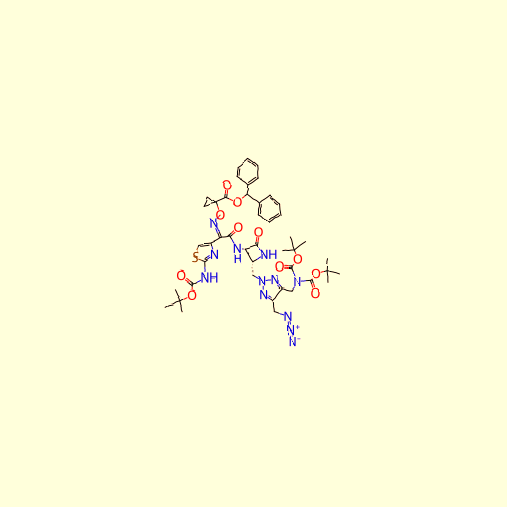 CC(C)(C)OC(=O)Nc1nc(/C(=N/OC2(C(=O)OC(c3ccccc3)c3ccccc3)CC2)C(=O)N[C@@H]2C(=O)N[C@@H]2Cn2nc(CN=[N+]=[N-])c(CN(C(=O)OC(C)(C)C)C(=O)OC(C)(C)C)n2)cs1